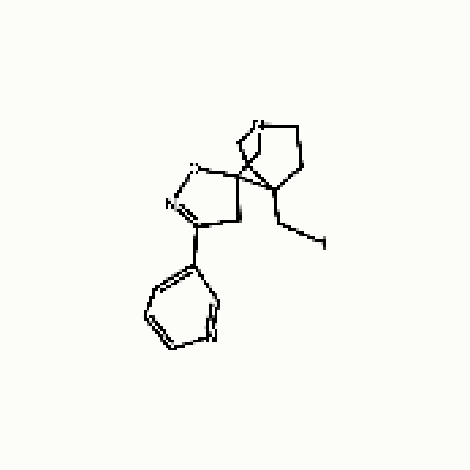 ICC12CCN(CC1)CC21CC(c2cccnc2)=NO1